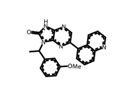 COc1cccc(C(C)n2c(=O)[nH]c3ncc(-c4cccc5ncccc45)nc32)c1